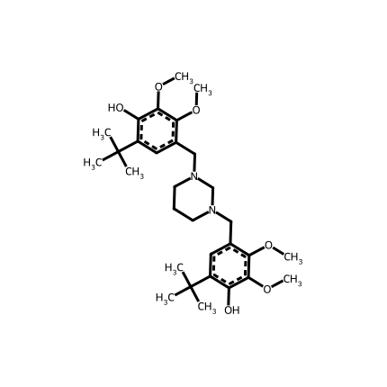 COc1c(CN2CCCN(Cc3cc(C(C)(C)C)c(O)c(OC)c3OC)C2)cc(C(C)(C)C)c(O)c1OC